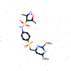 COc1cc(CS(=O)(=O)c2ccc(NS(=O)(=O)c3c(C)noc3C)cc2)nc(OC)n1